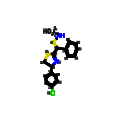 O=C(O)NSC(C1=NC(c2ccc(Cl)cc2)CS1)c1ccccc1